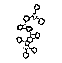 c1ccc(-c2nc(-c3ccccc3)nc(-c3cccc(-n4c5ccccc5c5cc(-n6c7ccccc7c7cc8c9c(nc(-c%10ccccc%10)n9-c9ccccc9)n(-c9ccccc9)c8cc76)ccc54)c3)n2)cc1